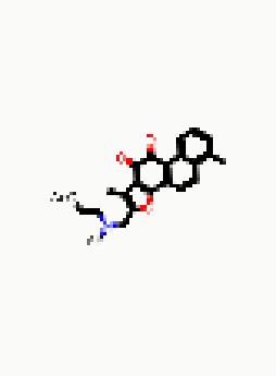 CC(=O)OCCN(Cc1oc2c(c1C)C(=O)C(=O)c1c-2ccc2c(C)cccc12)C(C)=O